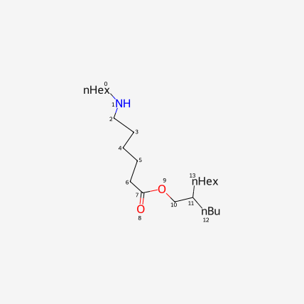 CCCCCCNCCCCCC(=O)OCC(CCCC)CCCCCC